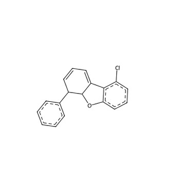 Clc1cccc2c1C1=CC=CC(c3ccccc3)C1O2